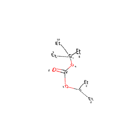 CCC(CC)OC(=O)O[Si](CC)(CC)CC